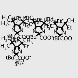 CCC(C)(C)C1=NC(C(=O)[O-])(C(C)(C)C)N=C1C(C)(C)CC.CCC(C)(C)C1=NC(C(=O)[O-])(C(C)(C)C)N=C1C(C)(C)CC.CCC(C)(C)C1=NC(C(=O)[O-])(C(C)(C)C)N=C1C(C)(C)CC.CCC(C)(C)C1=NC(C(=O)[O-])(C(C)(C)C)N=C1C(C)(C)CC.[Sr+2].[Sr+2]